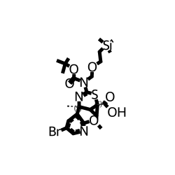 COc1ncc(Br)cc1[C@@]1(C)N=C(N(COCC[Si](C)(C)C)C(=O)OC(C)(C)C)S[C@@]2(C(=O)O)CC21